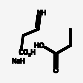 CCC(=O)O.N=CCC(=O)O.[NaH]